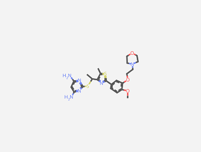 COc1ccc(-c2nc(C(C)Sc3nc(N)cc(N)n3)c(C)s2)cc1OCCN1CCOCC1